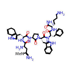 CN/C(=C\N)C[C@H](N)C(=O)N[C@H](Cc1c[nH]c2c1CCC=C2)C(=O)N[C@H]1CCN([C@@H](Cc2c[nH]c3ccccc23)C(=O)N[C@@H](Cc2ccccc2)C(=O)N[C@@H](CCCCN)C(N)=O)C1=O